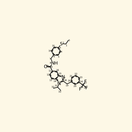 CCSc1ccc(CNC(=O)c2ccc3c(c2)nc(Cc2cccc(C(F)(F)F)c2)n3C(C)C)cc1